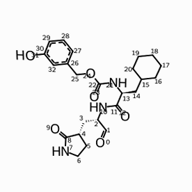 O=C[C@H](C[C@@H]1CCNC1=O)NC(=O)[C@H](CC1CCCCC1)NC(=O)OCc1cccc(O)c1